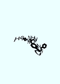 COc1c(F)c(-c2ccccc2)nc2c(F)c(-c3nn([C@H]4C[C@@](C)(O)C4)c(N)c3C#N)ccc12